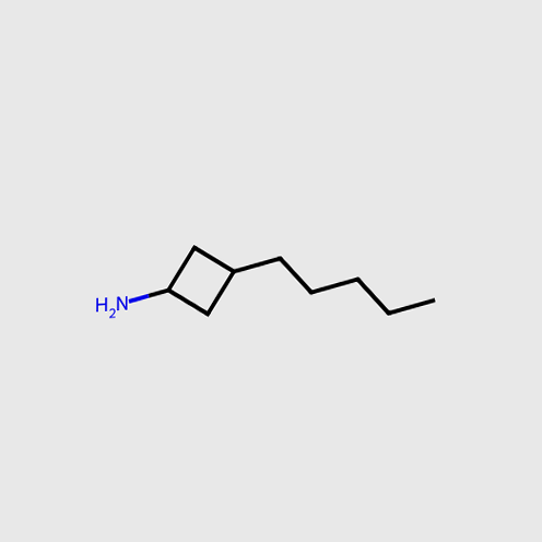 CCCCCC1CC(N)C1